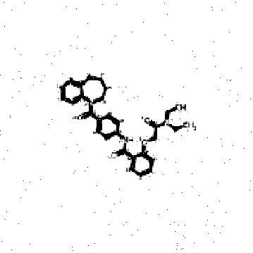 CCN(CC)C(=O)COc1ccccc1C(=O)Nc1ccc(C(=O)N2CCCCc3ccccc32)cc1